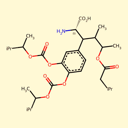 CC(C)CC(=O)OC(C)C(C)C(c1ccc(OC(=O)OC(C)C(C)C)c(OC(=O)OC(C)C(C)C)c1)[C@H](N)C(=O)O